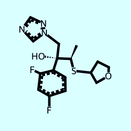 C[C@@H](SC1CCOC1)[C@](O)(Cn1cncn1)c1ccc(F)cc1F